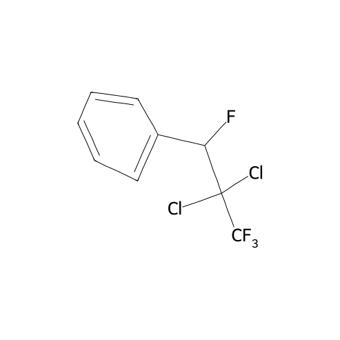 FC(c1ccccc1)C(Cl)(Cl)C(F)(F)F